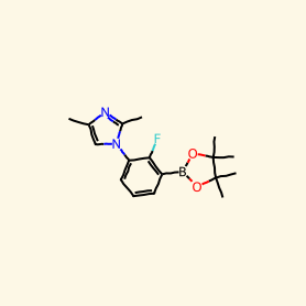 Cc1cn(-c2cccc(B3OC(C)(C)C(C)(C)O3)c2F)c(C)n1